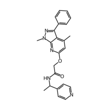 Cc1cc(OCC(=O)NC(C)c2ccncc2)nc2c1c(-c1ccccc1)nn2C